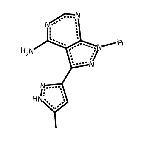 Cc1cc(-c2nn(C(C)C)c3ncnc(N)c23)n[nH]1